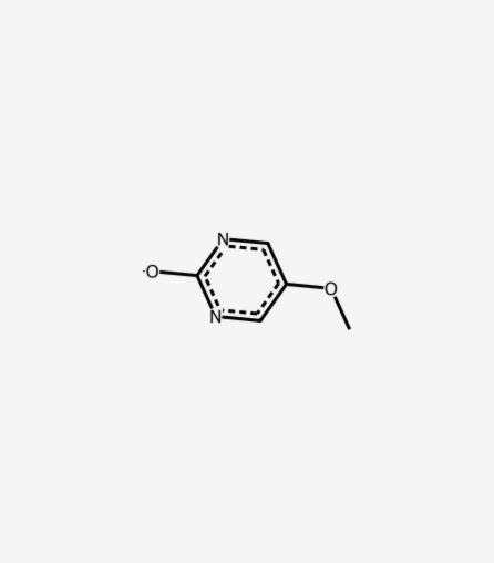 COc1cnc([O])nc1